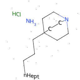 CCCCCCCCCCC12CCN(CC1)CC2.Cl.N